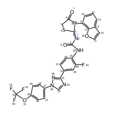 O=C(/N=C1\SCC(=O)N1c1cccc2ccoc12)Nc1ccc(-c2ncn(-c3ccc(OC(F)(F)F)cc3)n2)cc1F